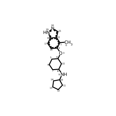 Cc1c(OC2CCCC(NC3CCCC3)C2)ccc2[nH]ncc12